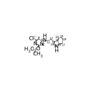 CC(C)Oc1nc(Cl)cc(NCCc2c[nH]c3ccccc23)n1